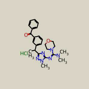 CC(c1cccc(C(=O)c2ccccc2)c1)c1nc(N=C(N(C)C)N2CCOCC2)n(C)n1.Cl